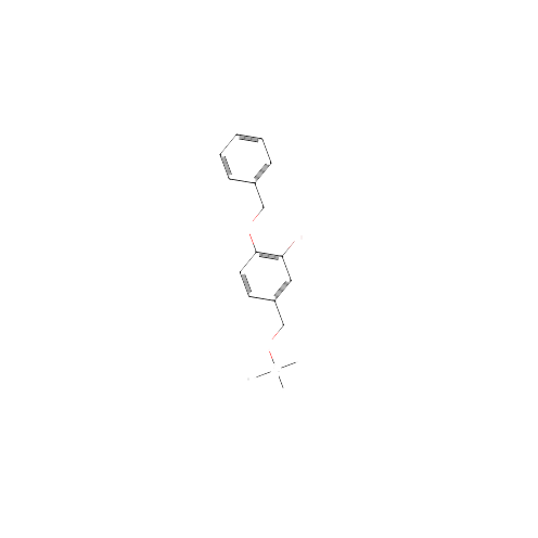 CC(C)(C)[Si](C)(C)OCc1ccc(OCc2ccccc2)c(Br)c1